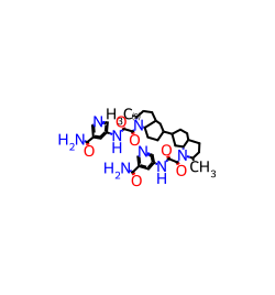 CC1CCC2CCC(C3CCC4C(CC[C@H](C)N4C(=O)C(=O)Nc4cncc(C(N)=O)c4)C3)CC2N1C(=O)C(=O)Nc1cncc(C(N)=O)c1